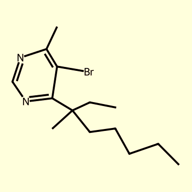 CCCCCC(C)(CC)c1ncnc(C)c1Br